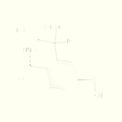 COc1ccc2c(c1)C(Br)(Br)C(C)(C)NC2=O